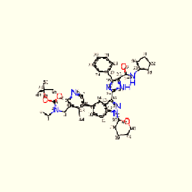 CCN(Cc1cncc(-c2ccc3c(c2)c(-c2nc(-c4ccccc4)c(C(=O)NC4CCCC4)[nH]2)nn3C2CCCCO2)c1C)C(=O)OC(C)(C)C